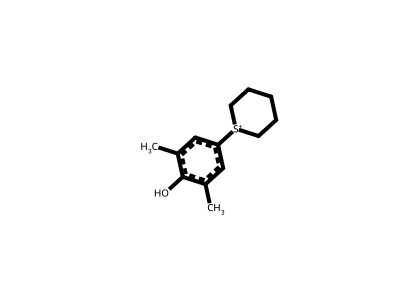 Cc1cc([S+]2CCCCC2)cc(C)c1O